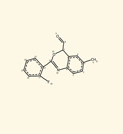 Cc1ccc2c(c1)C(C=O)OC(c1ccccc1F)=N2